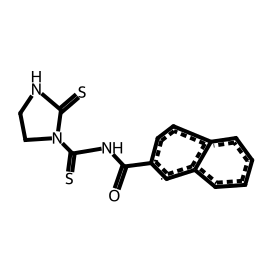 O=C(NC(=S)N1CCNC1=S)c1[c]c2ccccc2cc1